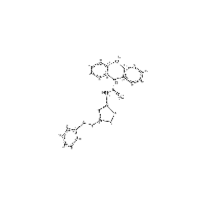 O=C(NC1CCN(CCc2ccccc2)C1)C1c2ccccc2Oc2ccccc21